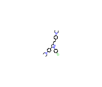 CCN(CC)c1ccc(C=CC2=NN(c3ccc(Cl)cc3)C(c3ccc(N(CC)CC)cc3)C2)cc1